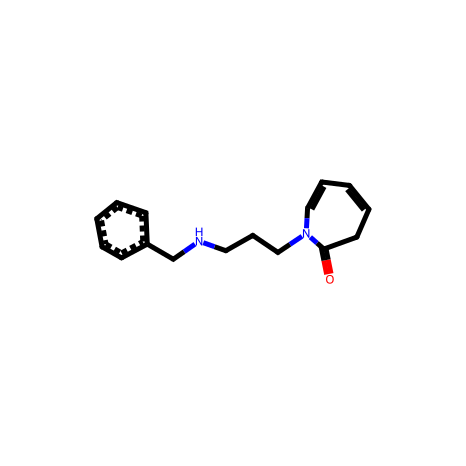 O=C1CC=CC=CN1CCCNCc1ccccc1